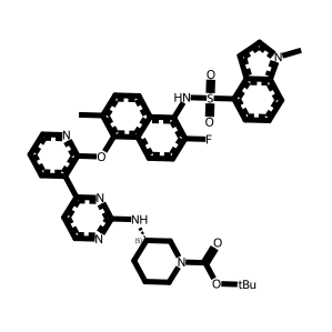 Cc1ccc2c(NS(=O)(=O)c3cccc4c3ccn4C)c(F)ccc2c1Oc1ncccc1-c1ccnc(N[C@H]2CCCN(C(=O)OC(C)(C)C)C2)n1